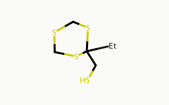 CCC1(CS)SCSCS1